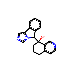 OC1(C2c3ccccc3-c3cncn32)CCCc2ccncc21